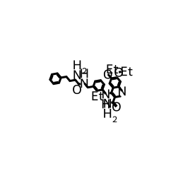 CCOc1cc2ncc(C(N)=O)c(Nc3cccc(CNC(=O)[C@H](N)CCc4ccccc4)c3CC)c2cc1OCC